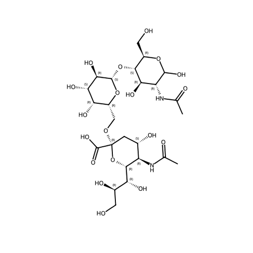 CC(=O)N[C@H]1[C@H]([C@H](O)[C@H](O)CO)O[C@@](OC[C@H]2O[C@@H](O[C@H]3[C@H](O)[C@@H](NC(C)=O)C(O)O[C@@H]3CO)[C@H](O)[C@@H](O)[C@H]2O)(C(=O)O)C[C@@H]1O